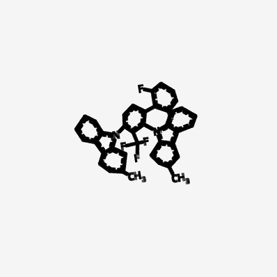 Cc1ccc2c(c1)c1ccccc1n2-c1c(-c2c(F)cccc2F)ccc(-n2c3ccccc3c3ccc(C)cc32)c1C(F)(F)F